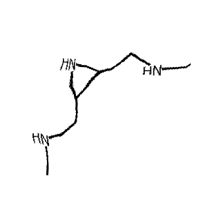 CNCC1NC1CNC